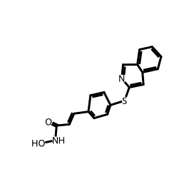 O=C(/C=C/c1ccc(Sc2cc3ccccc3cn2)cc1)NO